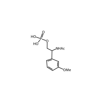 COc1cccc(C(COP(=O)(O)O)NC(C)=O)c1